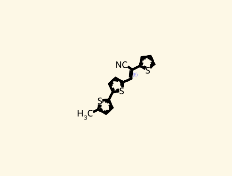 Cc1ccc(-c2ccc(/C=C(\C#N)c3cccs3)s2)s1